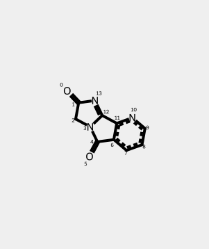 O=C1CN2C(=O)c3cccnc3C2=N1